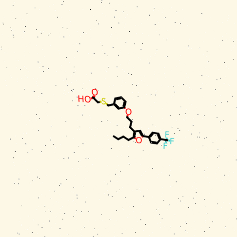 CCCCc1oc(-c2ccc(C(F)(F)F)cc2)cc1CCCOc1cccc(CSCC(=O)O)c1